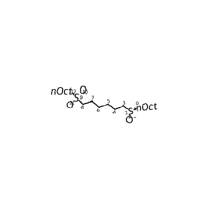 CCCCCCCC[S+]([O-])CCCCCCS(=O)(=O)CCCCCCCC